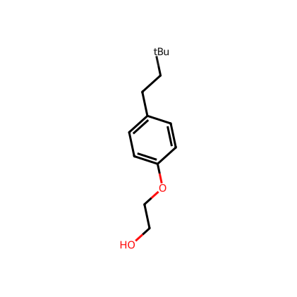 CC(C)(C)CCc1ccc(OCCO)cc1